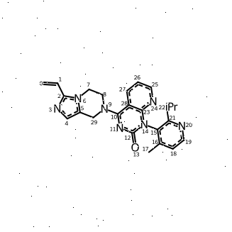 C=Cc1ncc2n1CCN(c1nc(=O)n(-c3c(C)ccnc3C(C)C)c3ncccc13)C2